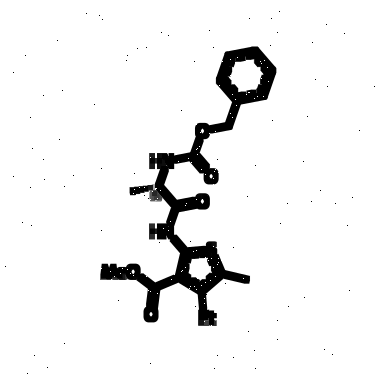 CCc1c(C)sc(NC(=O)[C@H](C)NC(=O)OCc2ccccc2)c1C(=O)OC